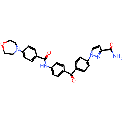 NC(=O)c1ccn(-c2ccc(C(=O)c3ccc(NC(=O)c4ccc(N5CCOCC5)cc4)cc3)cc2)n1